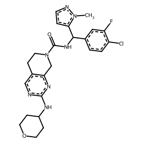 Cn1nccc1C(NC(=O)N1CCc2cnc(NC3CCOCC3)nc2C1)c1ccc(Cl)c(F)c1